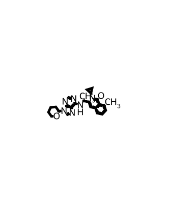 Cc1cccc2cc(C(C)Nc3ncnc4c3ncn4C3CCCCO3)n(C3CC3)c(=O)c12